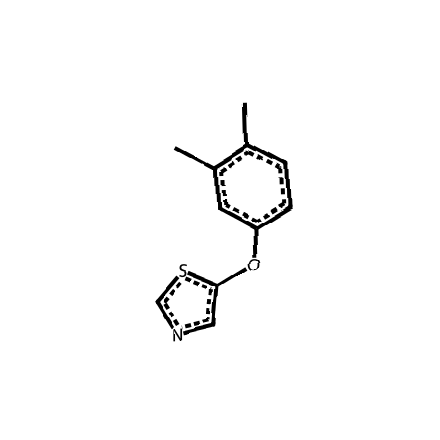 Cc1ccc(Oc2cncs2)cc1C